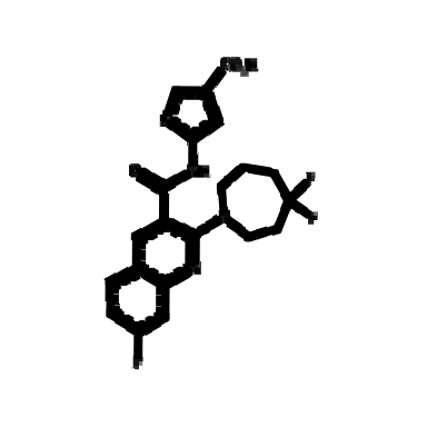 O=C(O)c1csc(NC(=O)c2cc3ccc(F)cc3nc2N2CCCC(F)(F)CC2)c1